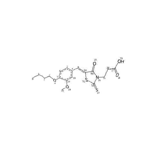 CCCCOc1ccc(/C=C2\SC(=S)N(CCC(=O)O)C2=O)cc1OC